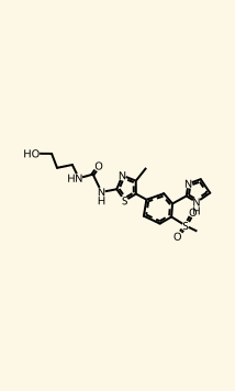 Cc1nc(NC(=O)NCCCO)sc1-c1ccc(S(C)(=O)=O)c(-c2ncc[nH]2)c1